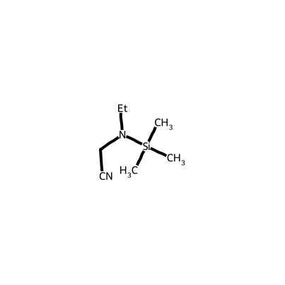 CCN(CC#N)[Si](C)(C)C